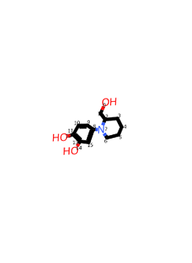 OCC1CCCCN1c1ccc(O)c(O)c1